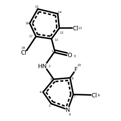 O=C(Nc1ccnc(Cl)c1F)c1c(Cl)cccc1Cl